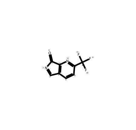 O=C1N=Cc2ccc(C(F)(F)F)nc21